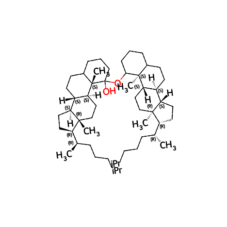 CC(C)CCC[C@@H](C)[C@H]1CC[C@H]2[C@@H]3CCC4CCCC(OC5(O)CCCC6CC[C@H]7[C@@H]8CC[C@H]([C@H](C)CCCC(C)C)[C@@]8(C)CC[C@@H]7[C@]65C)[C@]4(C)[C@H]3CC[C@]12C